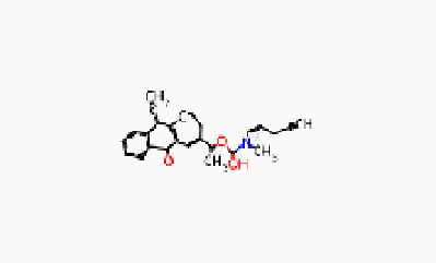 C#CC/C=C\N(C)C(O)O[C@H](C)C1=CC2=C(CCC1)C(=C=C)c1ccccc1C2=O